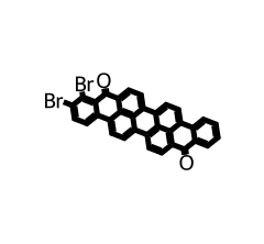 O=C1c2ccccc2-c2ccc3c4ccc5c6c(ccc(c7ccc1c2c37)c64)-c1ccc(Br)c(Br)c1C5=O